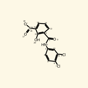 O=C(Nc1ccc(Cl)c(Cl)c1)c1cccc([N+](=O)[O-])c1O